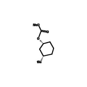 COC(=O)O[C@@H]1CCC[C@H](C(C)(C)C)C1